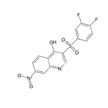 O=[N+]([O-])c1ccc2c(O)c(S(=O)(=O)c3ccc(F)c(F)c3)cnc2c1